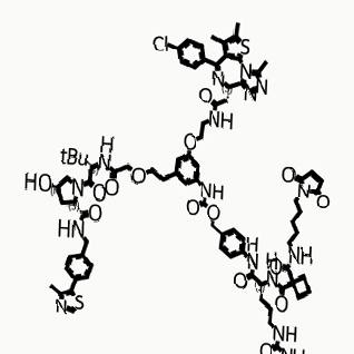 Cc1ncsc1-c1ccc(CNC(=O)[C@@H]2C[C@@H](O)CN2C(=O)[C@@H](NC(=O)COCCc2cc(NC(=O)OCc3ccc(NC(=O)[C@H](CCCNC(N)=O)NC(=O)C4(C(=O)NCCCCCN5C(=O)C=CC5=O)CCC4)cc3)cc(OCCNC(=O)C[C@@H]3N=C(c4ccc(Cl)cc4)c4c(sc(C)c4C)-n4c(C)nnc43)c2)C(C)(C)C)cc1